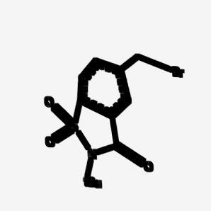 CC(C)(C)N1C(=O)c2cc(CBr)ccc2S1(=O)=O